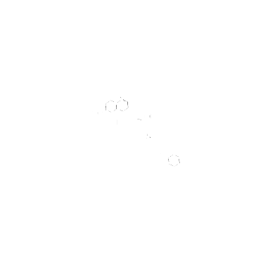 COc1ccc2nccc(C(F)CC[C@@H]3CCN(CCCSc4ccccc4)C[C@@H]3C(=O)O)c2c1